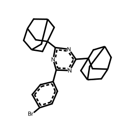 Brc1ccc(-c2nc(C34CC5CC(CC(C5)C3)C4)nc(C34CC5CC(CC(C5)C3)C4)n2)cc1